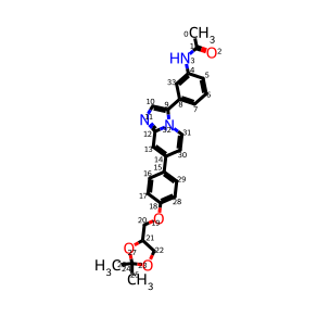 CC(=O)Nc1cccc(-c2cnc3cc(-c4ccc(OCC5COC(C)(C)O5)cc4)ccn23)c1